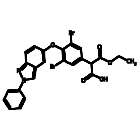 CCOC(=O)C(C(=O)O)c1cc(Br)c(Oc2ccc3nn(-c4ccccc4)cc3c2)c(Br)c1